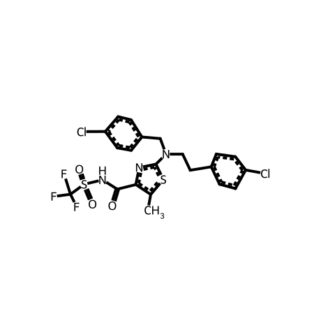 Cc1sc(N(CCc2ccc(Cl)cc2)Cc2ccc(Cl)cc2)nc1C(=O)NS(=O)(=O)C(F)(F)F